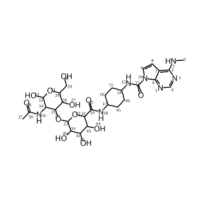 CNc1ncnc2c1ccn2C(=O)NC1CCC(NC(=O)C2OC(OC3C(O)C(CO)OC(O)C3NC(C)=O)C(O)C(O)C2O)CC1